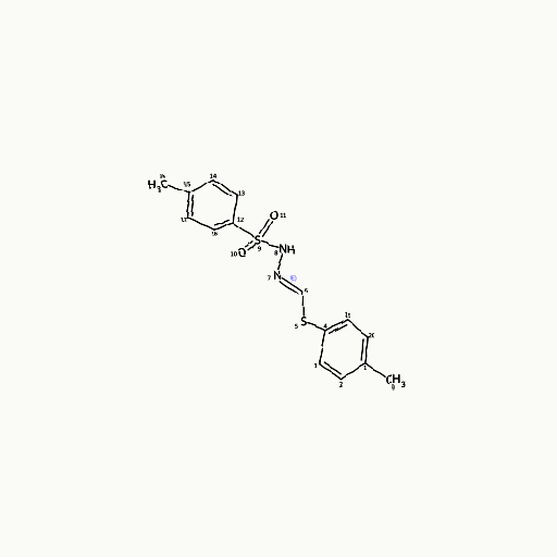 Cc1ccc(S/C=N/NS(=O)(=O)c2ccc(C)cc2)cc1